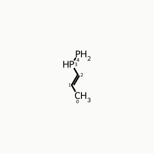 C/C=C/PP